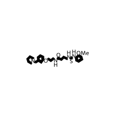 COc1ccccc1NC(=S)NCCCC(=O)NCCCOc1cccc(CN2CCCCC2)c1